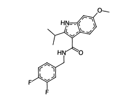 COc1ccc2c(C(=O)NCc3ccc(F)c(F)c3)c(C(C)C)[nH]c2c1